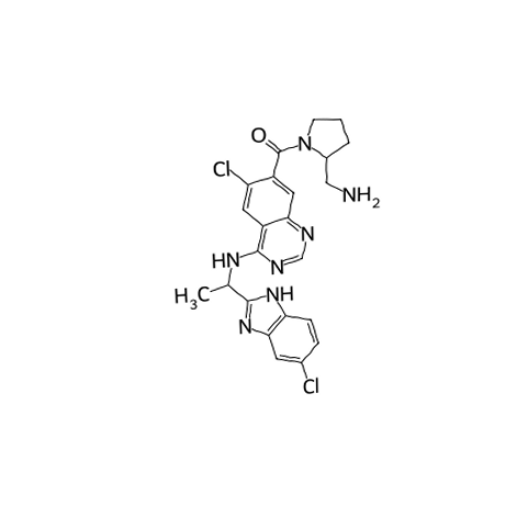 CC(Nc1ncnc2cc(C(=O)N3CCCC3CN)c(Cl)cc12)c1nc2cc(Cl)ccc2[nH]1